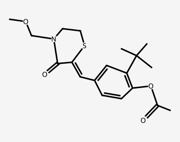 COCN1CCS/C(=C\c2ccc(OC(C)=O)c(C(C)(C)C)c2)C1=O